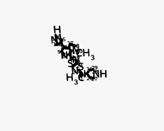 CN(c1nc2sc(-c3ncc(-c4cn[nH]c4)c4ccn(C)c34)nc2s1)C1CCNCC1